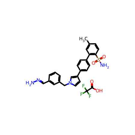 Cc1ccc(S(N)(=O)=O)c(-c2ccc(-c3ccn(Cc4cccc(C=NN)c4)c3)cc2)c1.O=C(O)C(F)(F)F